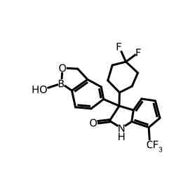 O=C1Nc2c(C(F)(F)F)cccc2C1(c1ccc2c(c1)COB2O)C1CCC(F)(F)CC1